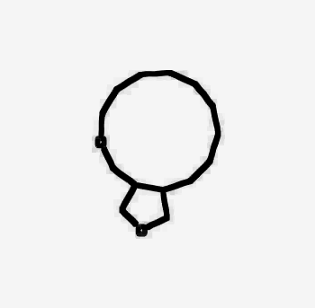 C1CCCCOCC2COCC2CCCC1